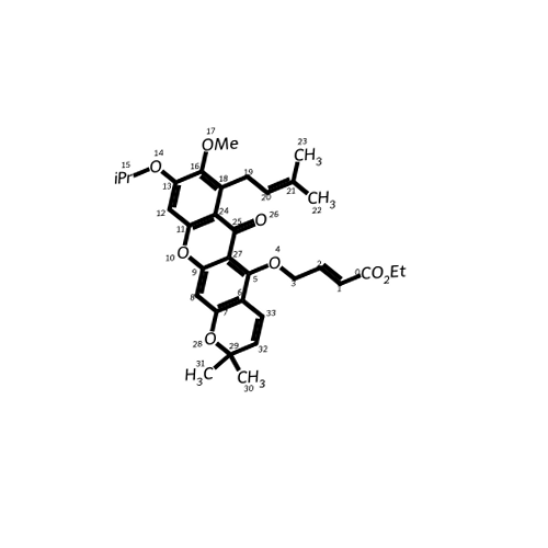 CCOC(=O)/C=C/COc1c2c(cc3oc4cc(OC(C)C)c(OC)c(CC=C(C)C)c4c(=O)c13)OC(C)(C)C=C2